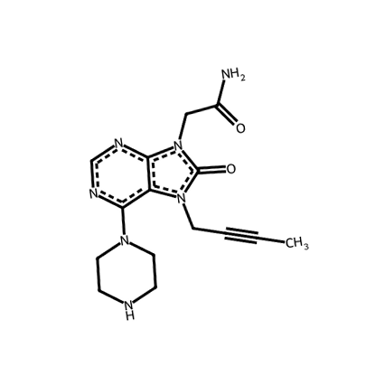 CC#CCn1c(=O)n(CC(N)=O)c2ncnc(N3CCNCC3)c21